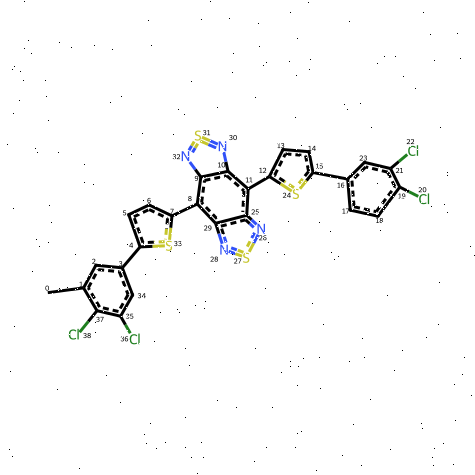 Cc1cc(-c2ccc(-c3c4c(c(-c5ccc(-c6ccc(Cl)c(Cl)c6)s5)c5nsnc35)N=S=N4)s2)cc(Cl)c1Cl